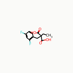 CCC(Cc1ccc(F)cc1F)(C(=O)O)C(=O)O